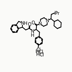 CC(C)CC(C1CCCCC1)N1CCN(C(=O)C(Cc2ccc(Cl)cc2)NC(=O)CC2NCc3ccccc32)CC1.Cl.Cl